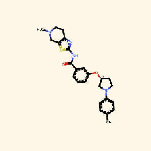 CN1CCc2nc(NC(=O)c3cccc(O[C@H]4CCN(c5ccc(C#N)cc5)C4)c3)sc2C1